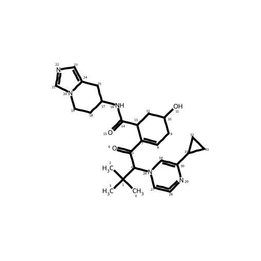 CC(C)(C)C(C(=O)C1=CCC(O)CC1C(=O)NC1CCn2cncc2C1)N1C=C=NC(C2CC2)=C1